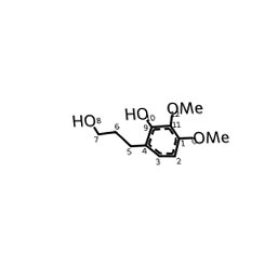 COc1ccc(CCCO)c(O)c1OC